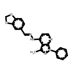 Cc1nn(-c2ccccc2)c2nccc(NN=Cc3ccc4c(c3)OCO4)c12